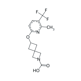 Cc1nc(OC2CC3(C2)CN(C(=O)O)C3)ccc1C(F)(F)F